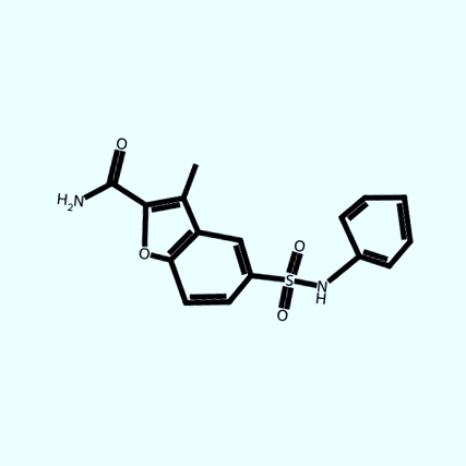 Cc1c(C(N)=O)oc2ccc(S(=O)(=O)Nc3ccccc3)cc12